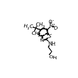 CC(C)(C)c1cc([N+](=O)[O-])c2sc(NCCCO)nc2c1